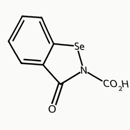 O=C(O)n1[se]c2ccccc2c1=O